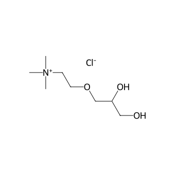 C[N+](C)(C)CCOCC(O)CO.[Cl-]